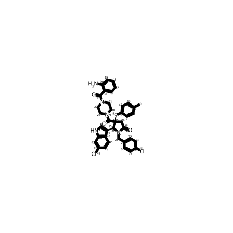 Cc1ccc(S[C@@]2(C(=O)N3CCN(C(=O)c4ccccc4N)CC3)CC(=O)N(Cc3ccc(Cl)cc3)[C@H]2c2c[nH]c3cc(Cl)ccc23)cc1